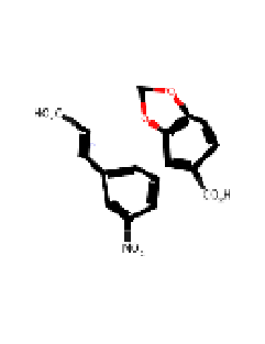 O=C(O)/C=C/c1cccc([N+](=O)[O-])c1.O=C(O)c1ccc2c(c1)OCO2